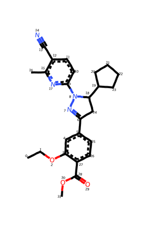 CCOc1cc(C2=NN(c3ccc(C#N)c(C)n3)C(C3CCCC3)C2)ccc1C(=O)OC